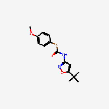 COc1ccc(SC(=O)Nc2cc(C(C)(C)C)on2)cc1